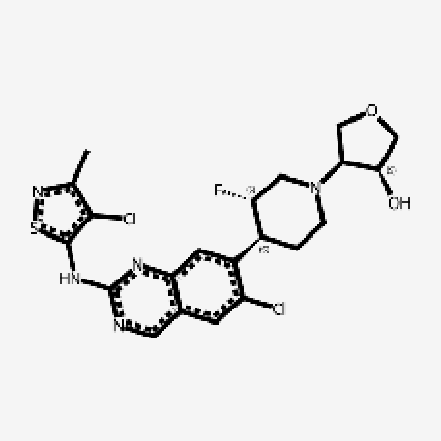 Cc1nsc(Nc2ncc3cc(Cl)c([C@@H]4CCN(C5COC[C@H]5O)C[C@H]4F)cc3n2)c1Cl